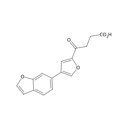 O=C(O)CCC(=O)c1cc(-c2ccc3ccoc3c2)co1